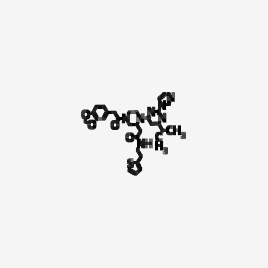 CC(C)c1cc(N2CCN(C(=O)Cc3ccc4c(c3)OCO4)CC2CC(=O)NCCc2cccs2)nc(-n2ccnc2)n1